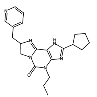 CCCN1C(=O)N2CC(Cc3cccnc3)N=C2c2[nH]c(C3CCCC3)nc21